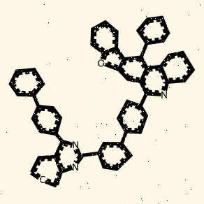 c1ccc(-c2ccc(-c3nc(-c4cccc(-c5ccc(-c6nc7ccccc7c7c(-c8ccccc8)c8c(cc67)oc6ccccc68)cc5)c4)nc4ccccc34)cc2)cc1